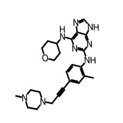 Cc1cc(C#CCN2CCN(C)CC2)ccc1Nc1nc(NC2CCOCC2)c2nc[nH]c2n1